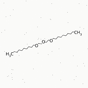 CCCCCCCCCCOCCOCCOCCCCCCCCCC